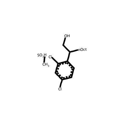 CCCCCCCCC(CO)c1ccc(Cl)cc1Cl.CS(=O)(=O)O